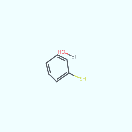 CCO.Sc1ccccc1